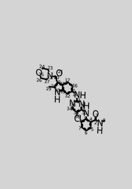 CNC(=O)c1ccccc1Nc1nc(Nc2ccc3c(C(=O)N4CCOCC4)c(C)[nH]c3c2)ncc1Cl